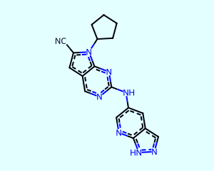 N#Cc1cc2cnc(Nc3cnc4[nH]ncc4c3)nc2n1C1CCCC1